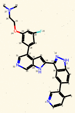 Cc1ccncc1-c1ccc2[nH]nc(-c3cc4c(-c5cc(F)cc(OCCN(C)C)c5)cncc4[nH]3)c2c1